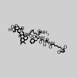 CC[C@@]1(O)C(=O)OCc2c1cc1n(c2=O)Cc2c-1nc1cc(F)c(C)c3c1c2[C@@H](NC(=O)CN(C)CCN(CC(N)=O)C(=O)[C@H](Cc1ccccc1)NC(=O)CNC(=O)CNC(=O)CCCCCN1C(=O)C=CC1=O)CC3